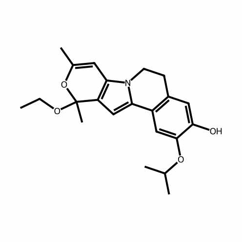 CCOC1(C)OC(C)=Cc2c1cc1n2CCc2cc(O)c(OC(C)C)cc2-1